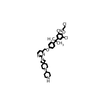 CC(C)(c1ccc(OCc2ccnc(N3CC4(CCN(C5CCNCC5)CC4)C3)n2)cc1)c1cc(Cl)c(OCCCl)c(C#N)c1